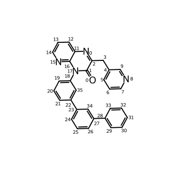 O=c1c(Cc2cccnc2)nc2cccnc2n1-c1cccc(-c2cccc(-c3ccccc3)c2)c1